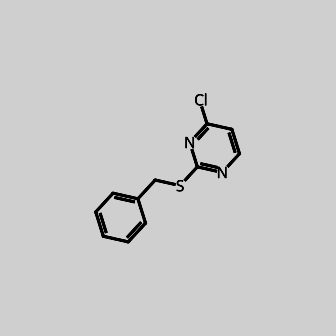 Clc1ccnc(SCc2ccccc2)n1